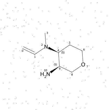 C=CN(C)[C@H]1CCOC[C@H]1N